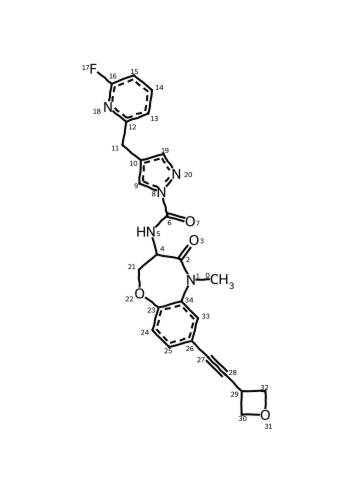 CN1C(=O)C(NC(=O)n2cc(Cc3cccc(F)n3)cn2)COc2ccc(C#CC3COC3)cc21